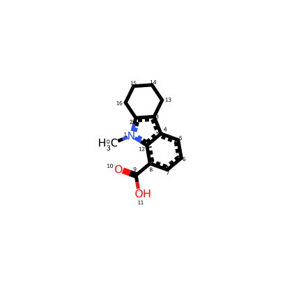 Cn1c2c(c3cccc(C(=O)O)c31)CCCC2